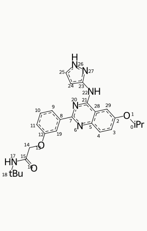 CC(C)Oc1ccc2nc(-c3cccc(OCC(=O)NC(C)(C)C)c3)nc(Nc3cc[nH]n3)c2c1